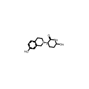 O=C1NC(O)CC[C@H]1N1CCc2ccc(O)cc2C1